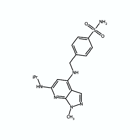 CC(C)Nc1cc(NCc2ccc(S(N)(=O)=O)cc2)c2cnn(C)c2n1